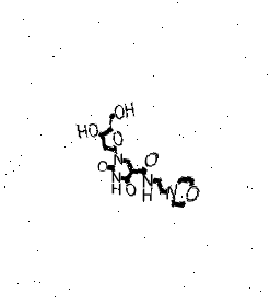 O=C(NCCN1CCOCC1)c1cn([C@H]2CC(O)[C@@H](CO)O2)c(=O)[nH]c1=O